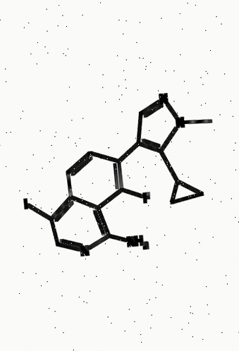 Cn1ncc(-c2ccc3c(I)cnc(N)c3c2F)c1C1CC1